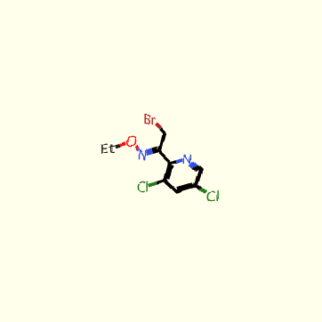 CCON=C(CBr)c1ncc(Cl)cc1Cl